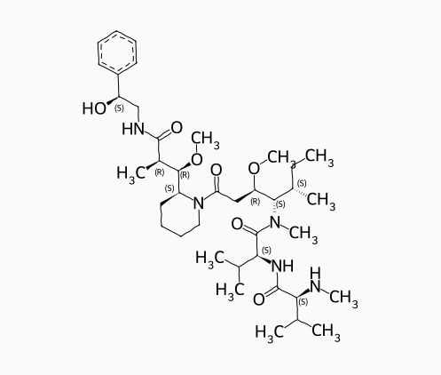 CC[C@H](C)[C@@H]([C@@H](CC(=O)N1CCCC[C@H]1[C@H](OC)[C@@H](C)C(=O)NC[C@@H](O)c1ccccc1)OC)N(C)C(=O)[C@@H](NC(=O)[C@@H](NC)C(C)C)C(C)C